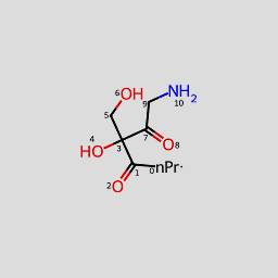 CC[CH]C(=O)C(O)(CO)C(=O)CN